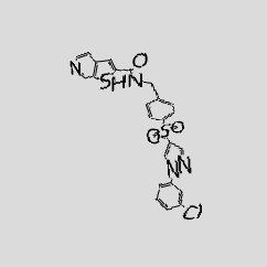 O=C(NCc1ccc(S(=O)(=O)c2cnn(-c3cccc(Cl)c3)c2)cc1)c1cc2ccncc2s1